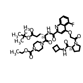 CCOC(=O)N1CCN(C(=O)[C@H](CCC(=O)OC(C)(C)C)NC(=O)c2cc(OCC(=O)N3CCC[C@H]3C(=O)NC3CCC3)c3c(F)cccc3n2)CC1